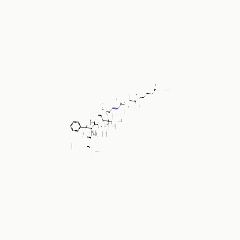 CC(C)OC(=O)N(C)C(C(=O)NC(C(=O)N(C)C/C=C/C(=O)NCC(=O)NCCCC(=O)O)C(C)(C)C)C(C)(C)c1ccccc1